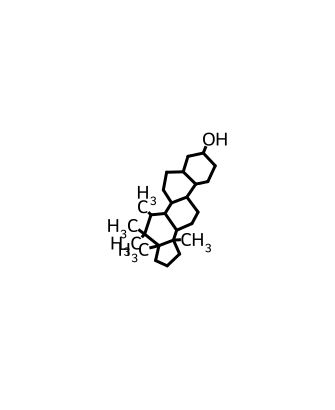 CC1C2C3CCC4CC(O)CCC4C3CCC2C2(C)CCCC2(C)C1(C)C